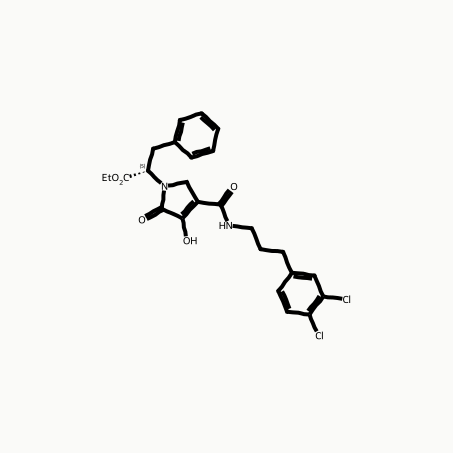 CCOC(=O)[C@H](Cc1ccccc1)N1CC(C(=O)NCCCc2ccc(Cl)c(Cl)c2)=C(O)C1=O